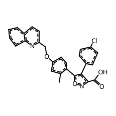 Cc1cc(OCc2ccc3ccccc3n2)ccc1-c1onc(C(=O)O)c1-c1ccc(Cl)cc1